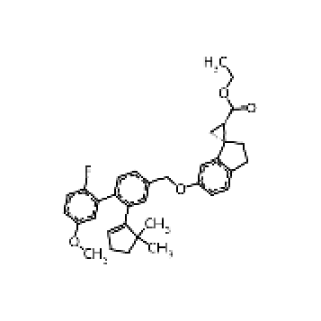 CCOC(=O)[C@@H]1C[C@@]12CCc1ccc(OCc3ccc(-c4cc(OC)ccc4F)c(C4=CCCC4(C)C)c3)cc12